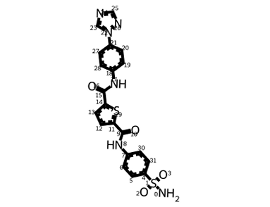 NS(=O)(=O)c1ccc(NC(=O)c2ccc(C(=O)Nc3ccc(-n4cncn4)cc3)s2)cc1